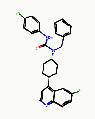 O=C(Nc1ccc(Cl)cc1)N(Cc1ccccc1)[C@H]1CC[C@H](c2ccnc3ccc(F)cc32)CC1